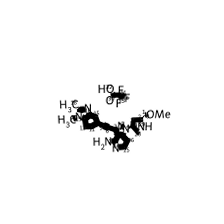 COC[C@H]1C[C@H](n2nc(C#Cc3ccc4c(c3)nc(C)n4C)c3c(N)nccc32)CN1.O=C(O)C(F)(F)F